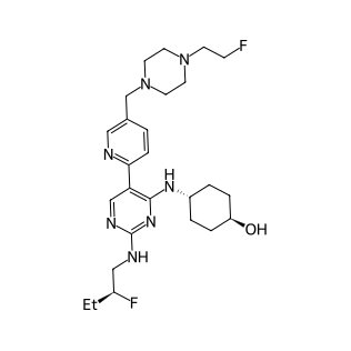 CC[C@H](F)CNc1ncc(-c2ccc(CN3CCN(CCF)CC3)cn2)c(N[C@H]2CC[C@H](O)CC2)n1